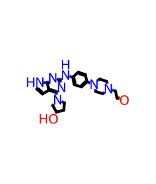 O=CCN1CCN(c2ccc(Nc3nc(N4CCC(O)C4)c4cc[nH]c4n3)cc2)CC1